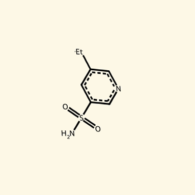 C[CH]c1cncc(S(N)(=O)=O)c1